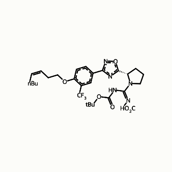 CCCC/C=C\CCOc1ccc(-c2noc([C@@H]3CCCN3/C(=N/C(=O)O)NC(=O)OC(C)(C)C)n2)cc1C(F)(F)F